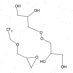 FC(F)(F)COCC1CO1.OCC(O)COOCC(O)CO